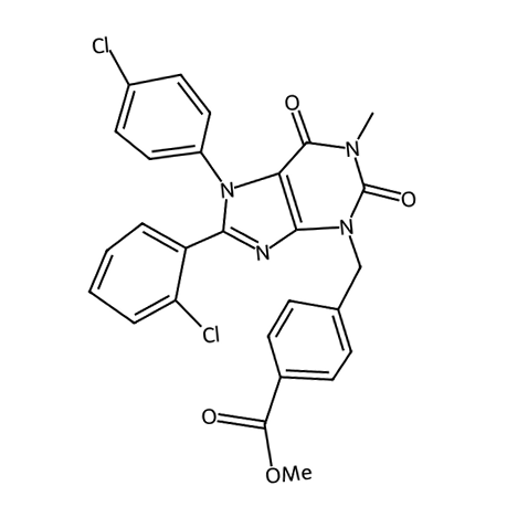 COC(=O)c1ccc(Cn2c(=O)n(C)c(=O)c3c2nc(-c2ccccc2Cl)n3-c2ccc(Cl)cc2)cc1